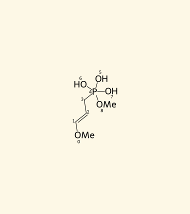 COC=CCP(O)(O)(O)OC